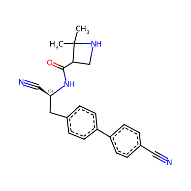 CC1(C)NCC1C(=O)N[C@H](C#N)Cc1ccc(-c2ccc(C#N)cc2)cc1